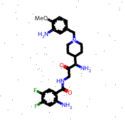 COc1ccc(CN2CCC(C(N)C(=O)CNC(=O)c3cc(F)c(F)cc3N)CC2)cc1N